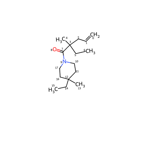 C=CCC(C)(CC)C(=O)N1CCC(C)(CC)CC1